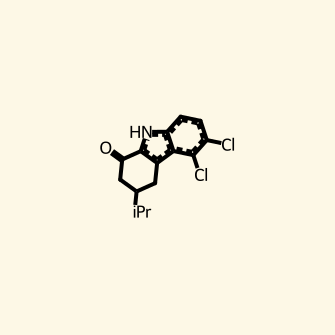 CC(C)C1CC(=O)c2[nH]c3ccc(Cl)c(Cl)c3c2C1